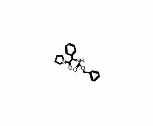 O=C(NC(C(=O)N1CCCC1)c1ccccc1)OCc1ccccc1